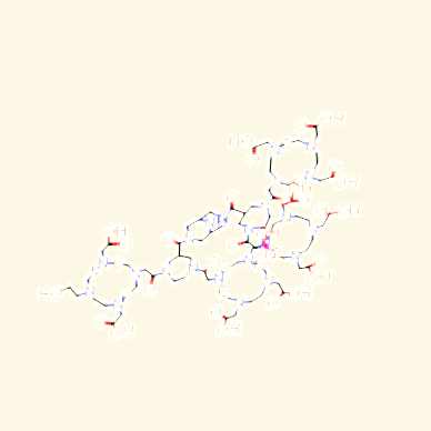 O=C(O)CN1CCN(CC(=O)O)CCN(CC(=O)N2CCN(C(=O)CN3CCN(CC(=O)O)CCN(CCO)CCN(CC(=O)O)CC3)CC(C(=O)N3CC4CN(C(=O)C5CN(C(=O)CN6CCN(CC(=O)O)CCN(CC(=O)O)CCN(CC(=O)O)CC6)CCN(C(=O)CN6CCN(CC(=O)O)CCN(CC(=O)O)CCN(CC(=O)O)CC6)C5)CC(C3)N4)C2)CCN(CC(=O)O)CC1